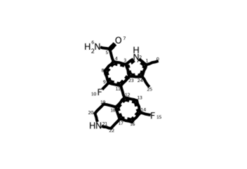 Cc1[nH]c2c(C(N)=O)cc(F)c(-c3cc(F)cc4c3CCNC4)c2c1C